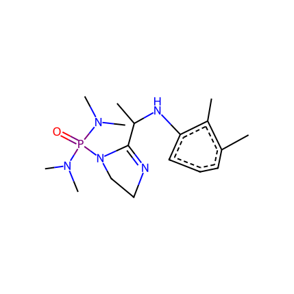 Cc1cccc(NC(C)C2=NCCN2P(=O)(N(C)C)N(C)C)c1C